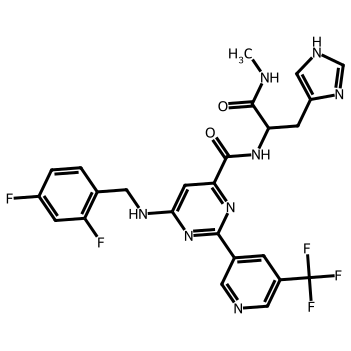 CNC(=O)C(Cc1c[nH]cn1)NC(=O)c1cc(NCc2ccc(F)cc2F)nc(-c2cncc(C(F)(F)F)c2)n1